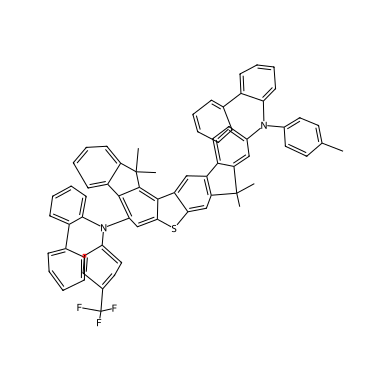 Cc1ccc(N(c2ccc3c(c2)C(C)(C)c2cc4sc5cc(N(c6ccc(C(F)(F)F)cc6)c6ccccc6-c6ccccc6)c6c(c5c4cc2-3)C(C)(C)c2ccccc2-6)c2ccccc2-c2ccccc2)cc1